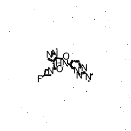 CN(C)c1nc2ccc(NC(=O)c3c(C(=O)N4CC(F)C4)cnn3C)cn2n1